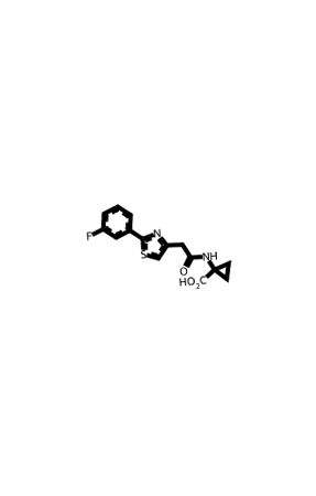 O=C(Cc1csc(-c2cccc(F)c2)n1)NC1(C(=O)O)CC1